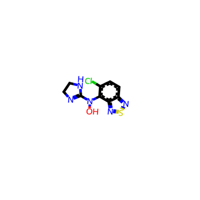 ON(C1=NCCN1)c1c(Cl)ccc2nsnc12